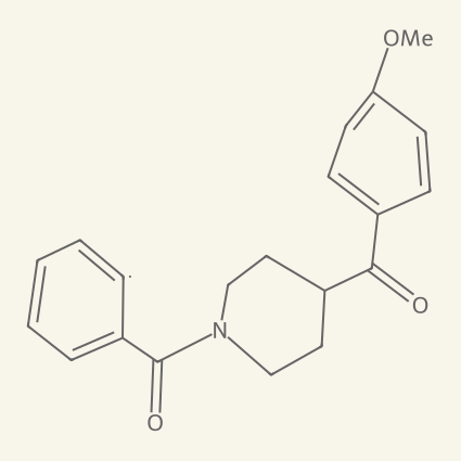 COc1ccc(C(=O)C2CCN(C(=O)c3[c]cccc3)CC2)cc1